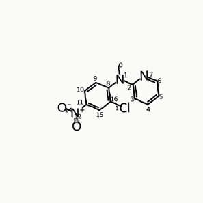 CN(c1ccccn1)c1ccc([N+](=O)[O-])cc1Cl